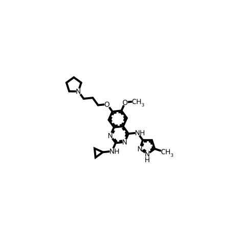 COc1cc2c(Nc3cc(C)[nH]n3)nc(NC3CC3)nc2cc1OCCCN1CCCC1